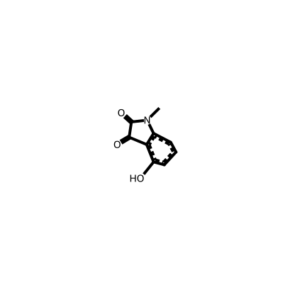 CN1C(=O)C(=O)c2c(O)cccc21